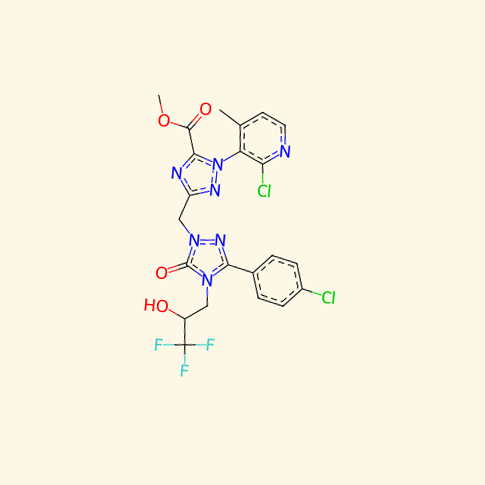 COC(=O)c1nc(Cn2nc(-c3ccc(Cl)cc3)n(CC(O)C(F)(F)F)c2=O)nn1-c1c(C)ccnc1Cl